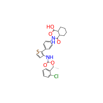 C[C@@H](OC(=O)Nc1ccsc1-c1ccc(NC(=O)C2CCCCC2C(=O)O)cc1)c1ccccc1Cl